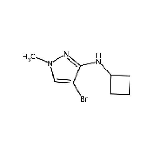 Cn1cc(Br)c(NC2CCC2)n1